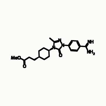 COC(=O)CC[C@H]1CC[C@@H](n2c(C)nn(-c3ccc(C(=N)N)cc3)c2=O)CC1